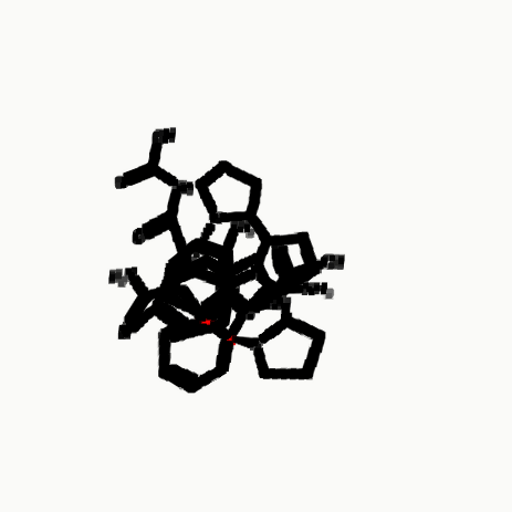 CC1(CC(N)=O)c2ccc(cc2)[C@]1(C(=O)NC(=O)O)N1CCCC1C1CC[C@H](C2CCCN2[C@@]2(C(=O)NC(=O)O)c3ccc(cc3)C2(C)CC(N)=O)N1c1ccc(Br)cc1